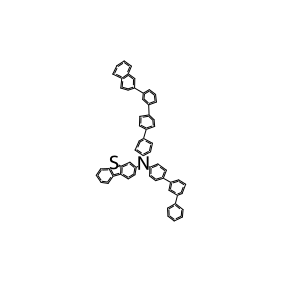 c1ccc(-c2cccc(-c3ccc(N(c4ccc(-c5ccc(-c6cccc(-c7ccc8ccccc8c7)c6)cc5)cc4)c4ccc5c(c4)sc4ccccc45)cc3)c2)cc1